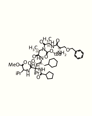 COC(=O)C(NC(=O)C(NC(=O)C1CCCC1)(C(C)C)[C@H](O)[C@@H](CC1CCCCC1)NC(=O)[C@H](C)N(C(=O)OC(C)(C)C)C(=O)[C@H](C)NC(=O)[C@@H](N)COCc1ccccc1)C(C)C